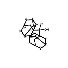 CCC(O)(C12CC3CC(CC(C3)C1)C2)C12CC3CC(CC(C3)C1)C2